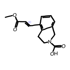 COC(=O)/C=C/c1cccc2c1CCN(C(=O)O)C2